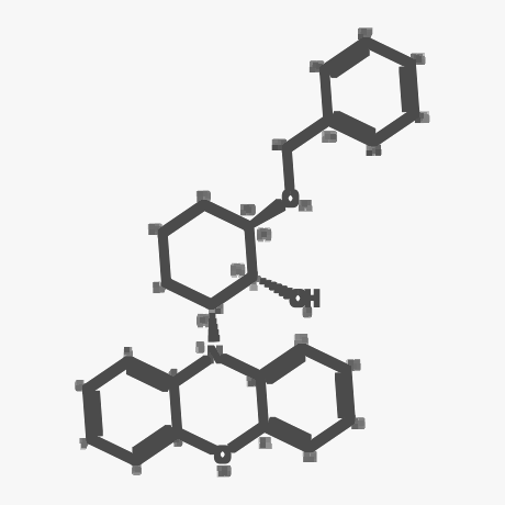 O[C@@H]1[C@H](N2c3ccccc3Oc3ccccc32)CCC[C@H]1OCc1ccccc1